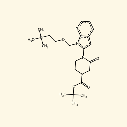 CC(C)(C)OC(=O)N1CCN(c2cc3cccnc3n2COCC[Si](C)(C)C)C(=O)C1